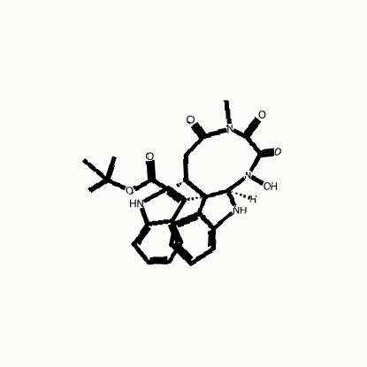 CN1C(=O)C[C@@H](OC(=O)OC(C)(C)C)[C@]2(c3c[nH]c4ccccc34)c3ccccc3N[C@@H]2N(O)C(=O)C1=O